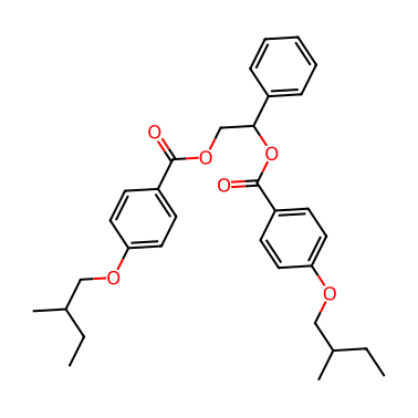 CCC(C)COc1ccc(C(=O)OCC(OC(=O)c2ccc(OCC(C)CC)cc2)c2ccccc2)cc1